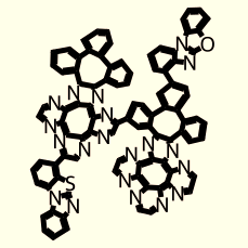 c1ccc2c(c1)nc1sc3c(-c4cnc5c6ncc(-c7ccc8c9cc(-c%10cccc%11c%10nc%10oc%12ccccc%12n%10%11)ccc9c9ccccc9c9nc%10c%11nccnc%11c%11nccnc%11c%11nccnc%11c%10nc9c8c7)nc6c6nc7c8ccccc8c8ccccc8c8ccccc8c7nc6c6nccnc6c5n4)cccc3n12